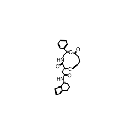 O=C(C[C@@H]1CC=CCCC(=O)O[C@H](c2ccccc2)CNC1=O)N[C@@H]1CCCc2ccccc21